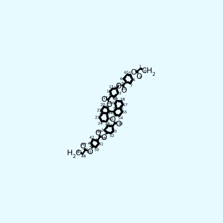 C=CC(=O)Oc1ccc(C(=O)Oc2ccc(C(=O)Oc3ccc4ccccc4c3-c3c(OC(=O)c4ccc(OC(=O)c5ccc(OC(=O)C=C)cc5)cc4)ccc4ccccc34)cc2)cc1